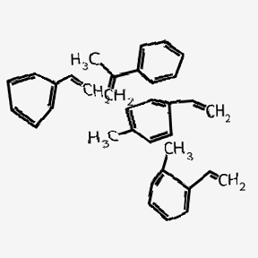 C=C(C)c1ccccc1.C=Cc1ccc(C)cc1.C=Cc1ccccc1.C=Cc1ccccc1C